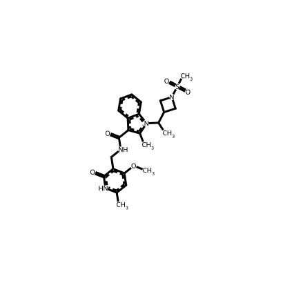 COc1cc(C)[nH]c(=O)c1CNC(=O)c1c(C)n(C(C)C2CN(S(C)(=O)=O)C2)c2ccccc12